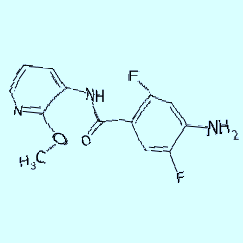 COc1ncccc1NC(=O)c1cc(F)c(N)cc1F